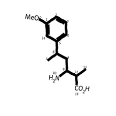 COc1cccc(C(C)CC(N)C(C)C(=O)O)c1